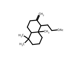 C=C1CCC2C(C)(C)CCCC2(C)C1CCOC(C)=O